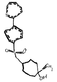 CC1(O)CCC(CS(=O)(=O)c2ccc(-c3ccccn3)cc2)CC1